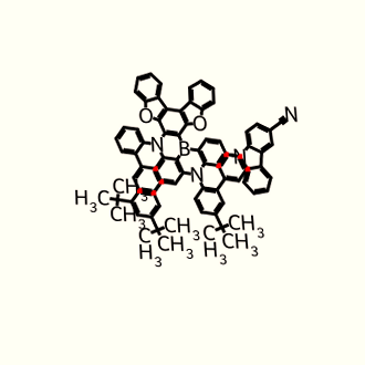 CC(C)(C)c1cc(-c2cc3c4c(c2)N(c2ccccc2-c2ccccc2)c2c(c5oc6ccccc6c5c5c2oc2ccccc25)B4c2ccc(-n4c5ccccc5c5cc(C#N)ccc54)cc2N3c2ccc(C(C)(C)C)cc2-c2ccccc2)cc(C(C)(C)C)c1